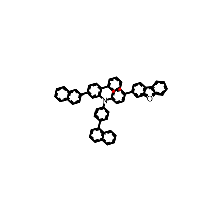 c1ccc(-c2ccc(-c3ccc4ccccc4c3)cc2N(c2ccc(-c3ccc4c(c3)oc3ccccc34)cc2)c2ccc(-c3cccc4ccccc34)cc2)cc1